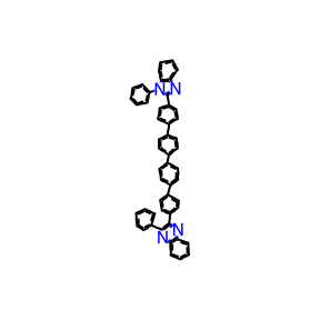 c1ccc(-c2nc3ccccc3nc2-c2ccc(-c3ccc(-c4ccc(-c5ccc(-c6nc7ccccc7n6-c6ccccc6)cc5)cc4)cc3)cc2)cc1